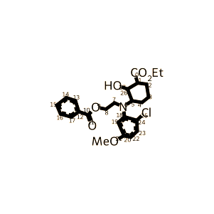 CCOC(=O)C1CCCC(N(CCOC(=O)c2ccccc2)c2cc(OC)ccc2Cl)C1O